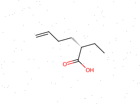 C=CCC[C@H](CC)C(=O)O